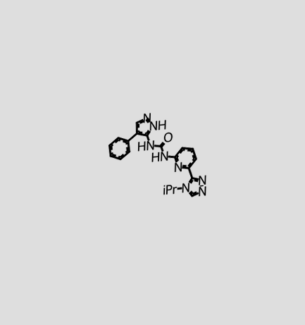 CC(C)n1cnnc1-c1cccc(NC(=O)Nc2[nH]ncc2-c2ccccc2)n1